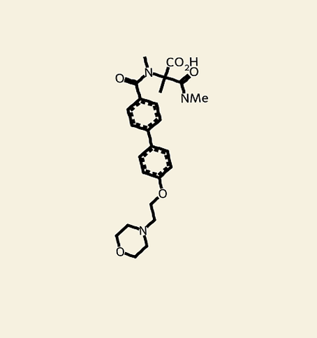 CNC(=O)C(C)(C(=O)O)N(C)C(=O)c1ccc(-c2ccc(OCCN3CCOCC3)cc2)cc1